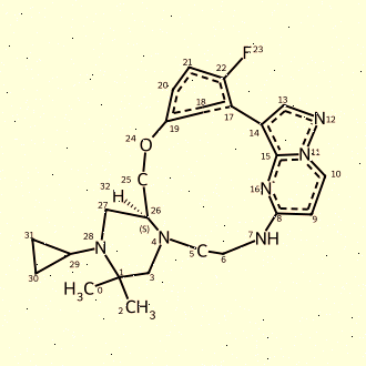 CC1(C)CN2CCNc3ccn4ncc(c4n3)-c3cc(ccc3F)OC[C@@H]2CN1C1CC1